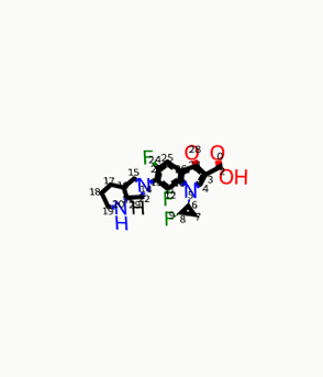 O=C(O)c1cn([C@@H]2C[C@@H]2F)c2c(F)c(N3CC4CCCN[C@@H]4C3)c(F)cc2c1=O